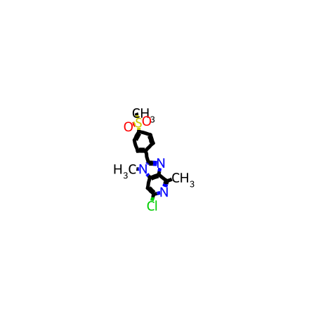 Cc1nc(Cl)cc2c1nc(-c1ccc(S(C)(=O)=O)cc1)n2C